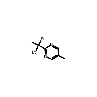 CCC(C)(CC)c1ncc(C)cn1